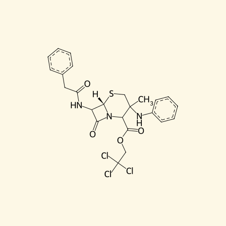 CC1(Nc2ccccc2)CS[C@H]2C(NC(=O)Cc3ccccc3)C(=O)N2C1C(=O)OCC(Cl)(Cl)Cl